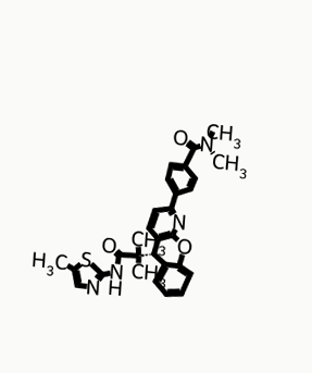 Cc1cnc(NC(=O)C(C)(C)[C@H]2c3ccccc3Oc3nc(-c4ccc(C(=O)N(C)C)cc4)ccc32)s1